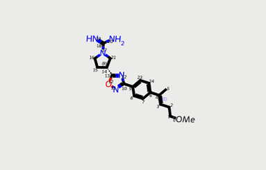 COCC/C=C(\C)c1ccc(-c2noc([C@@H]3CCN(C(=N)N)C3)n2)cc1